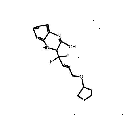 OC1=Nc2ccccc2NC1C(F)(F)/C=C/COC1CCCC1